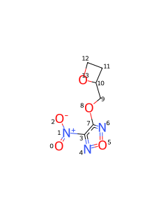 O=[N+]([O-])c1nonc1OCC1CCO1